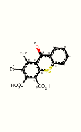 CCc1c(C(=O)O)c(C(=O)O)c2sc3ccccc3c(=O)c2c1CC